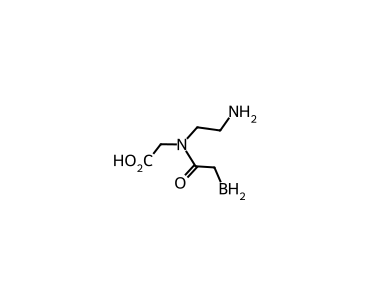 BCC(=O)N(CCN)CC(=O)O